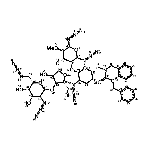 CO[C@H]1C(N=[N+]=[N-])OC(N=[N+]=[N-])[C@@H](O[C@H]2O[C@H](CN(Cc3ccccc3)C(=O)OCc3ccccc3)CCC2N=[N+]=[N-])[C@@H]1O[C@@H]1O[C@H](CO)[C@@H](O[C@H]2O[C@@H](CN=[N+]=[N-])[C@@H](O)[C@H](O)C2N=[N+]=[N-])[C@H]1O